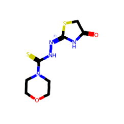 O=C1CS/C(=N/NC(=S)N2CCOCC2)N1